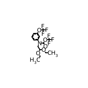 CCOC(CN(C(=O)OC(F)(F)F)c1cccc(OC(F)(F)F)c1)OCC